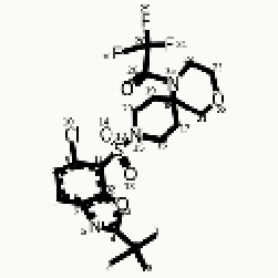 CC(C)(C)c1nc2ccc(Cl)c(S(=O)(=O)N3CCC4(CC3)COCCN4C(=O)C(F)(F)F)c2o1